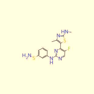 CNc1nc(C)c(-c2nc(Nc3cccc(SN)c3)ncc2F)s1